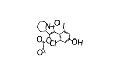 O=C(OC1=C(c2c(Cl)cc(O)cc2I)C(=O)N2CCCCC12)C1CO1